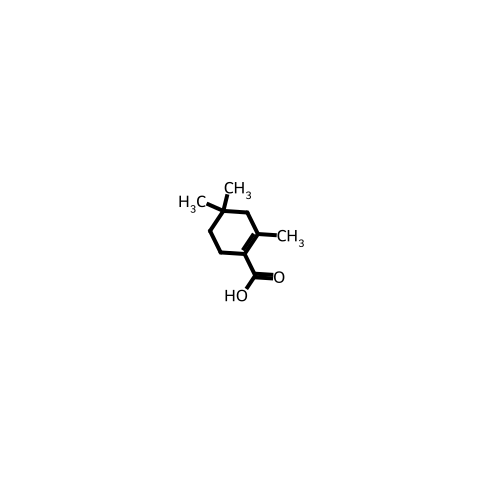 CC1=C(C(=O)O)CCC(C)(C)C1